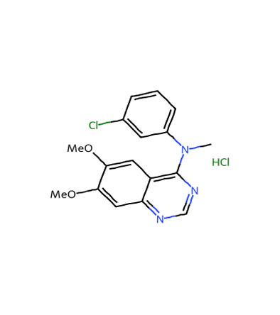 COc1cc2ncnc(N(C)c3cccc(Cl)c3)c2cc1OC.Cl